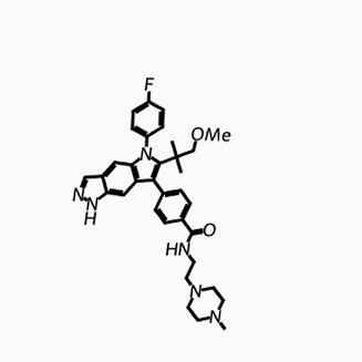 COCC(C)(C)c1c(-c2ccc(C(=O)NCCN3CCN(C)CC3)cc2)c2cc3[nH]ncc3cc2n1-c1ccc(F)cc1